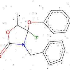 CC1OC(=O)N(Cc2ccccc2)C1(F)Oc1ccccc1